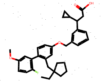 CCC1(Cc2cc(OCc3cccc(C(CC(=O)O)C4CC4)c3)ccc2-c2cc(OC)ccc2F)CCCC1